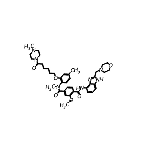 COc1cc(C(=O)N(C)c2ccc(C)cc2OCCCCCC(=O)N2CCN(C)CC2)ccc1C(=O)Nc1cccc2[nH]c(CN3CCOCC3)nc12